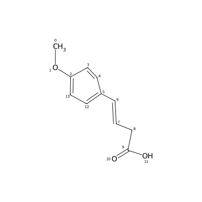 COc1ccc(/C=C/CC(=O)O)cc1